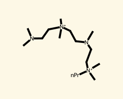 CCC[N+](C)(C)CCN(C)CC[N+](C)(C)CCN(C)C